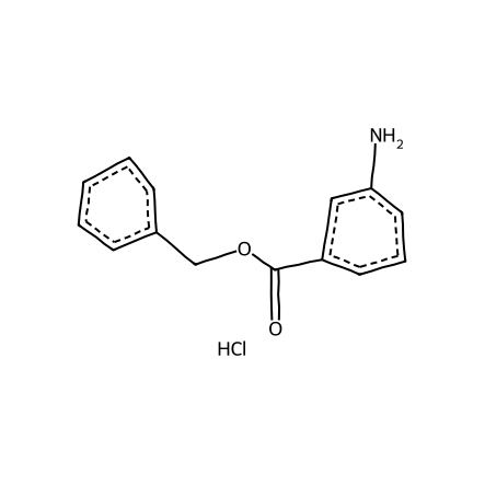 Cl.Nc1cccc(C(=O)OCc2ccccc2)c1